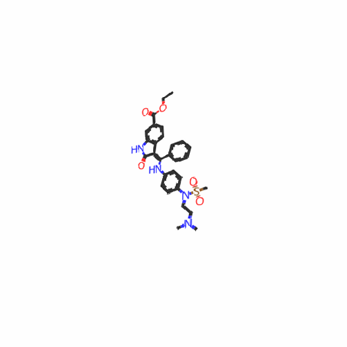 CCOC(=O)c1ccc2c(c1)NC(=O)/C2=C(\Nc1ccc(N(CCN(C)C)S(C)(=O)=O)cc1)c1ccccc1